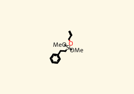 C=CCO[Si](CCc1ccccc1)(OC)OC